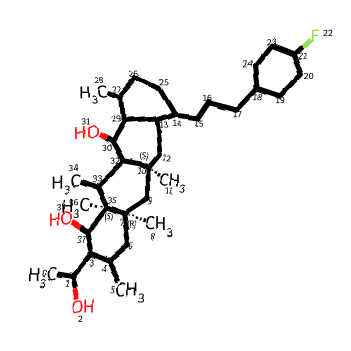 CC(O)C1C(C)C[C@]2(C)C[C@]3(C)CC4C(CCCC5CCC(F)CC5)CCC(C)C4C(O)C3C(C)[C@]2(C)C1O